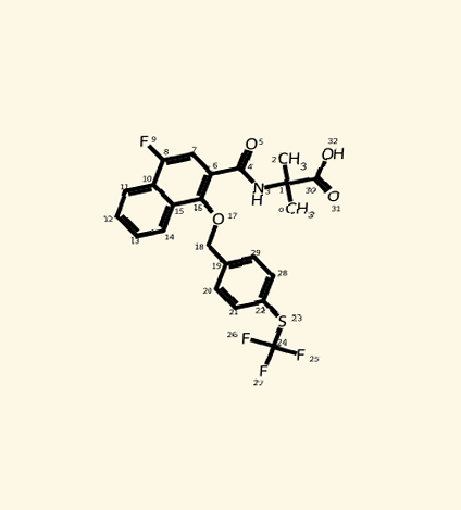 CC(C)(NC(=O)c1cc(F)c2ccccc2c1OCc1ccc(SC(F)(F)F)cc1)C(=O)O